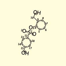 O=S(=O)(Oc1ccccc1CO)c1ccc(O)cc1